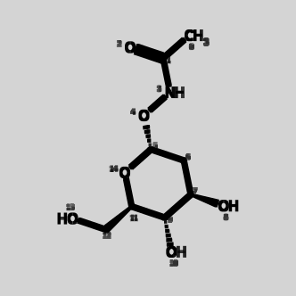 CC(=O)NO[C@@H]1C[C@@H](O)[C@H](O)[C@@H](CO)O1